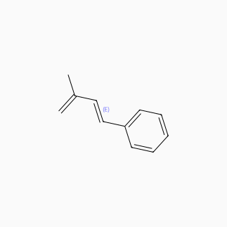 C=C(C)/C=C/c1ccccc1